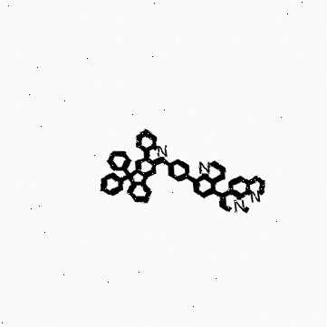 C=Nc1c(/C(=C\C)c2ccc(-c3ccc(-c4nc5ccccc5c5cc6c(cc45)-c4ccccc4C6(c4ccccc4)c4ccccc4)cc3)c3ncccc23)ccc2cccnc12